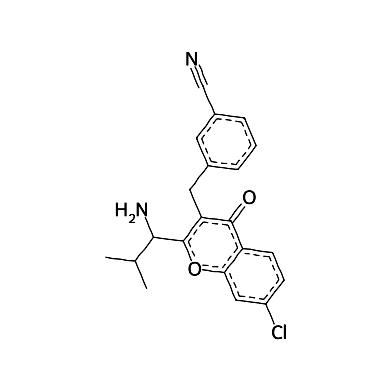 CC(C)C(N)c1oc2cc(Cl)ccc2c(=O)c1Cc1cccc(C#N)c1